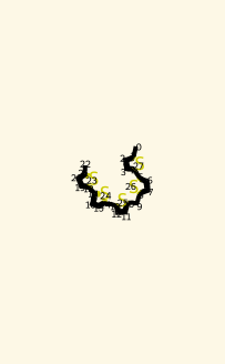 Cc1ccc(-c2ccc(Cc3ccc(-c4ccc(-c5ccc(C)s5)s4)s3)s2)s1